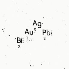 [Ag].[Au].[Bi].[Pb]